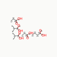 CC(C)C(=O)O.CC(C)C(=O)O.CCC(=O)O.CCC(=O)O.CCCC(=O)O